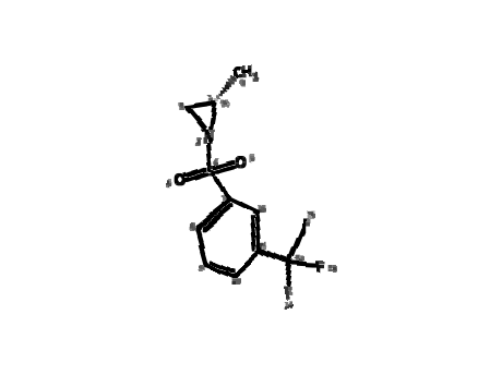 C[C@H]1CN1S(=O)(=O)c1cccc(C(F)(F)F)c1